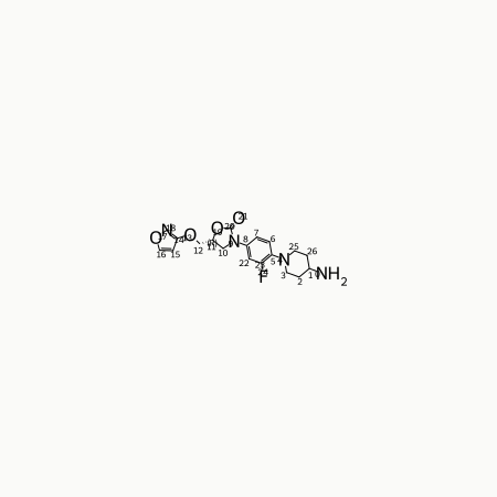 NC1CCN(c2ccc(N3C[C@H](COc4ccon4)OC3=O)cc2F)CC1